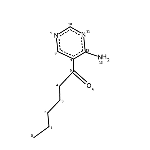 CCCCCC(=O)c1cncnc1N